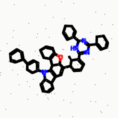 C[C@H]1C(C2=NC(C3=CC=CCC3)=NC(C3=CCCC=C3)N2)=CC=CC1C1=CC2=C(C3C4=C(C=CCC4)OC13)N(C1=CC=C(c3ccccc3)CC1)C1C=CC=CC21